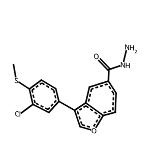 CSc1ccc(-c2coc3ccc(C(=O)NN)cc23)cc1Cl